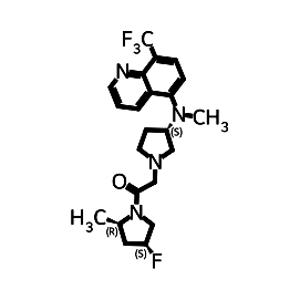 C[C@@H]1C[C@H](F)CN1C(=O)CN1CC[C@H](N(C)c2ccc(C(F)(F)F)c3ncccc23)C1